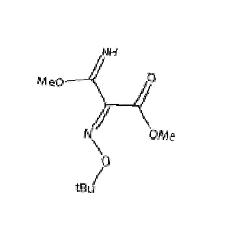 COC(=N)C(=NOC(C)(C)C)C(=O)OC